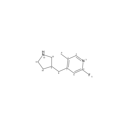 Cc1cnc(F)cc1CC1CCNC1